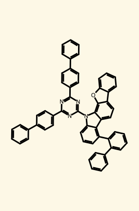 c1ccc(-c2ccc(-c3nc(-c4ccc(-c5ccccc5)cc4)nc(-n4c5cccc(-c6ccccc6-c6ccccc6)c5c5ccc6c7ccccc7oc6c54)n3)cc2)cc1